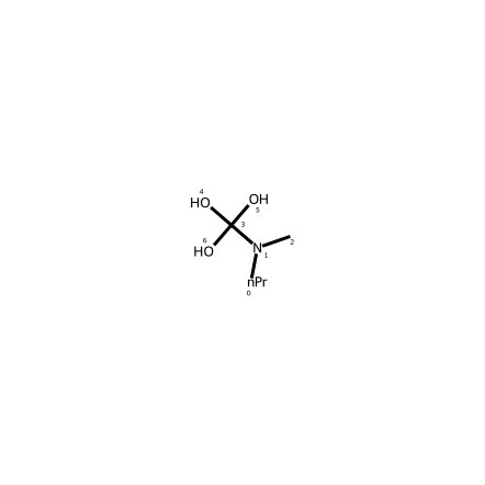 CCCN(C)C(O)(O)O